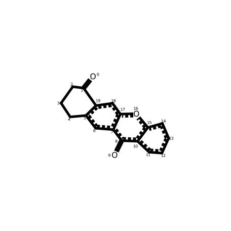 O=C1CCCc2cc3c(=O)c4ccccc4oc3cc21